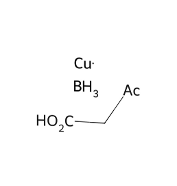 B.CC(=O)CC(=O)O.[Cu]